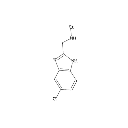 CCNCc1nc2cc(Cl)ccc2[nH]1